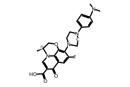 C[C@H]1COc2c(N3CCN(c4ccc(N(C)C)cc4)CC3)c(F)cc3c(=O)c(C(=O)O)cn1c23